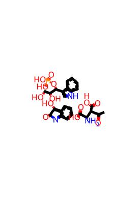 CC(=O)C(C(=O)O)[C@H](N)C(=O)O.O=C1N=c2ccccc2=C1O.O=P(O)(O)OC(c1c[nH]c2ccccc12)C(O)CO